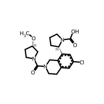 CO[C@H]1CCN(C(=O)N2CCc3cc(Cl)cc([C@@H]4CCCN4C(=O)O)c3C2)C1